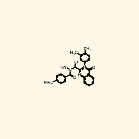 CCCN(C(=O)c1ccc(OC)cc1)C(CC)c1nc2ccccc2c(=O)n1-c1ccc(C)c(C)c1